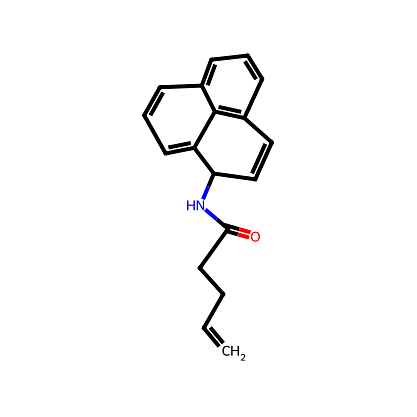 C=CCCC(=O)NC1C=Cc2cccc3cccc1c23